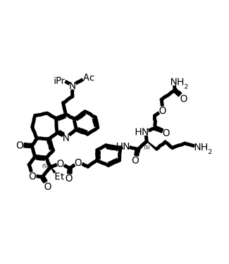 CC[C@@]1(OC(=O)OCc2ccc(NC(=O)[C@H](CCCCN)NC(=O)COCC(N)=O)cc2)C(=O)OCC2=C1C=C1c3nc4ccccc4c(CCN(C(C)=O)C(C)C)c3CCCC1C2=O